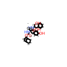 CC(Cc1ccc(O)cc1)(NC(=O)OC1CCC2CCCC1C2)C(=O)NC(CO)C(O)c1ccccc1.[CH2]